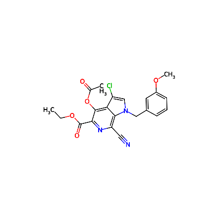 CCOC(=O)c1nc(C#N)c2c(c(Cl)cn2Cc2cccc(OC)c2)c1OC(C)=O